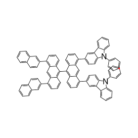 c1ccc(-n2c3ccccc3c3cc(-c4cccc5c(-c6c7cccc(-c8ccc9ccccc9c8)c7cc7c(-c8ccc9ccccc9c8)cccc67)c6cccc(-c7ccc8c(c7)c7ccccc7n8-c7ccccc7)c6cc45)ccc32)cc1